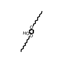 CCCCCCCCCCOc1ccc(OCCCCCCCCCC)c(O)c1